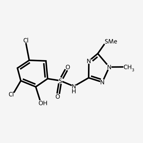 CSc1nc(NS(=O)(=O)c2cc(Cl)cc(Cl)c2O)nn1C